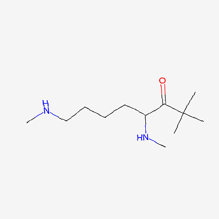 CNCCCCC(NC)C(=O)C(C)(C)C